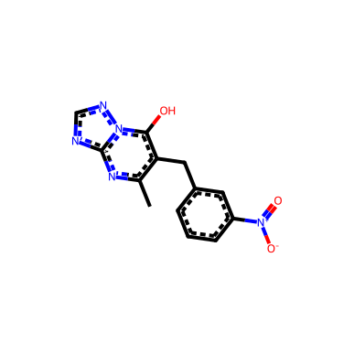 Cc1nc2ncnn2c(O)c1Cc1cccc([N+](=O)[O-])c1